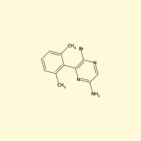 Cc1cccc(C)c1-c1nc(N)cnc1Br